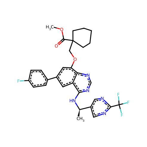 COC(=O)C1(COc2cc(-c3ccc(F)cc3)cc3c(N[C@H](C)c4cnc(C(F)(F)F)nc4)ncnc23)CCCCC1